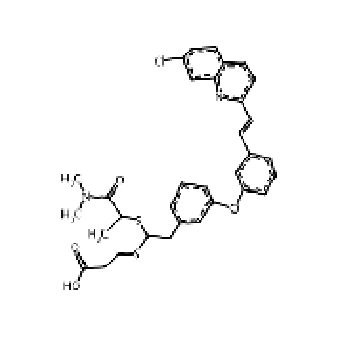 CC(SC(Cc1cccc(Oc2cccc(C=Cc3ccc4ccc(Cl)cc4n3)c2)c1)SCCC(=O)O)C(=O)N(C)C